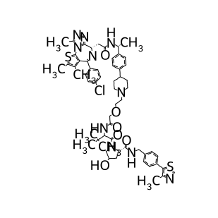 Cc1ncsc1-c1ccc(CNC(=O)[C@@H]2C[C@@H](O)CN2C(=O)C(NC(=O)COCCN2CCC(c3ccc([C@@H](C)NC(=O)C[C@@H]4N=C(c5ccc(Cl)cc5)c5c(sc(C)c5C)-n5c(C)nnc54)cc3)CC2)C(C)(C)C)cc1